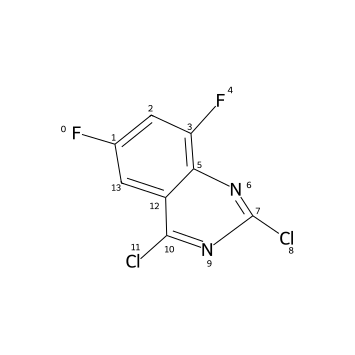 Fc1cc(F)c2nc(Cl)nc(Cl)c2c1